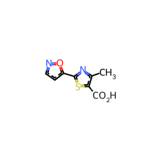 Cc1nc(-c2ccno2)sc1C(=O)O